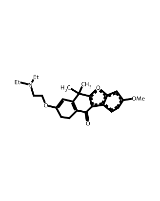 CCN(CC)CCOC1=CC2=C(CC1)C(=O)c1c(oc3cc(OC)ccc13)C2(C)C